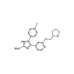 CSc1nc(-c2ccnc(OCC3CCCO3)c2)c(-c2ccc(F)cc2)[nH]1